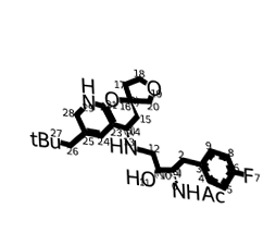 CC(=O)N[C@@H](Cc1ccc(F)cc1)[C@H](O)CN[C@H]1C[C@]2(CCOC2)OC2=C1C=C(CC(C)(C)C)CN2